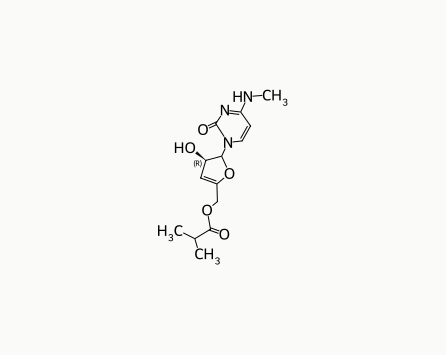 CNc1ccn(C2OC(COC(=O)C(C)C)=C[C@H]2O)c(=O)n1